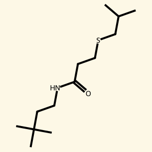 CC(C)CSCCC(=O)NCCC(C)(C)C